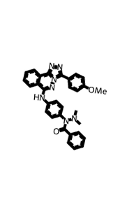 COc1ccc(-c2nnc3c4ccccc4c(Nc4ccc(N(C(=O)c5ccccc5)N(C)C)cc4)nn23)cc1